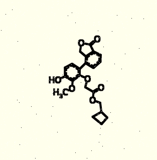 COc1c(O)ccc(-c2cccc3c2COC3=O)c1OCC(=O)OCC1CCC1